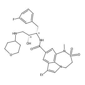 CCc1cn2c3c(cc(C(=O)N[C@@H](Cc4cccc(F)c4)[C@H](O)CNC4CCOCC4)cc13)N(C)S(=O)(=O)CC2